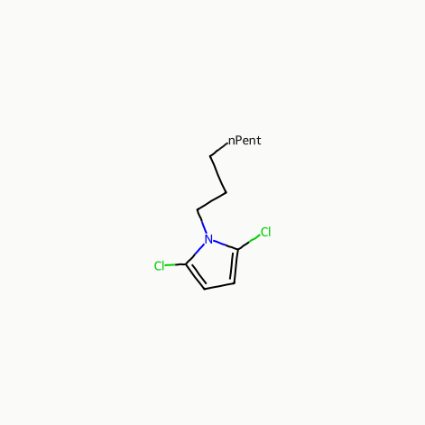 CCCCCCCCn1c(Cl)ccc1Cl